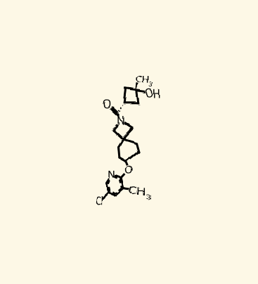 Cc1cc(Cl)cnc1OC1CCC2(CC1)CN(C(=O)[C@H]1C[C@@](C)(O)C1)C2